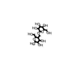 OCC1OC(OCC2C(CO)OC(O)C(O)C2O)C(O)C(O)C1O